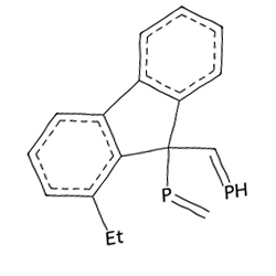 C=PC1(C=P)c2ccccc2-c2cccc(CC)c21